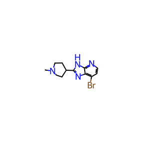 CN1CCC(c2nc3c(Br)ccnc3[nH]2)CC1